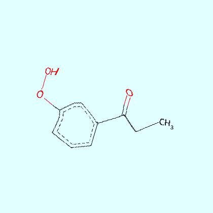 CCC(=O)c1cccc(OO)c1